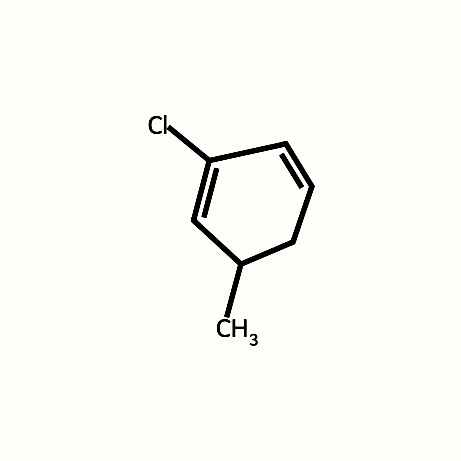 CC1C=C(Cl)C=CC1